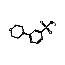 NS(=O)(=O)c1ccnc(N2CCOCC2)c1